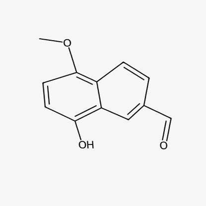 COc1ccc(O)c2cc(C=O)ccc12